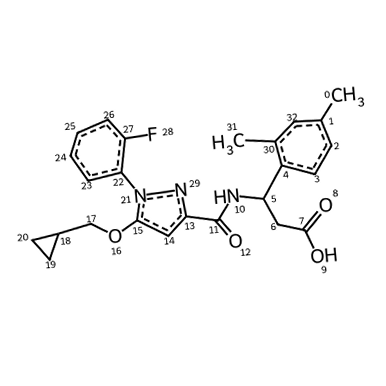 Cc1ccc(C(CC(=O)O)NC(=O)c2cc(OCC3CC3)n(-c3ccccc3F)n2)c(C)c1